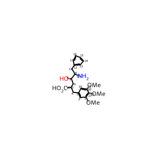 COc1cc(CC(CC(O)C(N)Cc2ccccc2)C(=O)O)cc(OC)c1OC